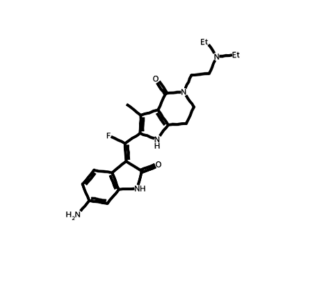 CCN(CC)CCN1CCc2[nH]c(C(F)=C3C(=O)Nc4cc(N)ccc43)c(C)c2C1=O